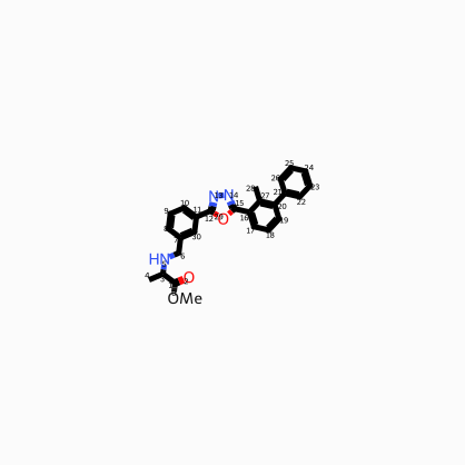 COC(=O)C(C)NCc1cccc(-c2nnc(-c3cccc(-c4ccccc4)c3C)o2)c1